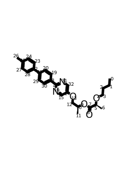 CCCCO[C@@H](C)C(=O)O[C@@H](C)COc1cnc(-c2ccc(-c3ccc(C)cc3)cc2)nc1